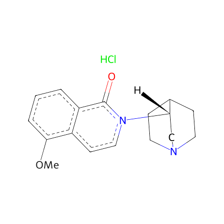 COc1cccc2c(=O)n([C@H]3CN4CCC3CC4)ccc12.Cl